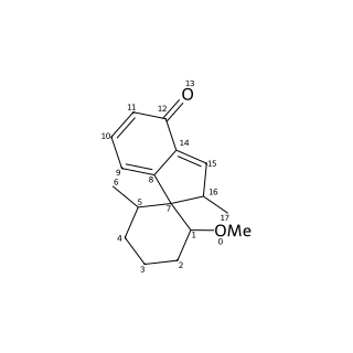 COC1CCCC(C)C12C1=CC=CC(=O)C1=CC2C